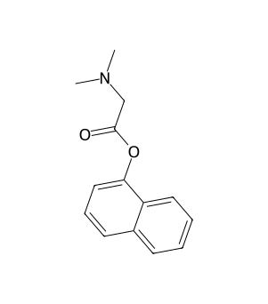 CN(C)CC(=O)Oc1cccc2ccccc12